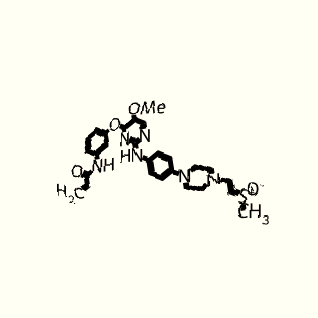 C=CC(=O)Nc1cccc(Oc2nc(Nc3ccc(N4CCN(CC[S+](C)[O-])CC4)cc3)ncc2OC)c1